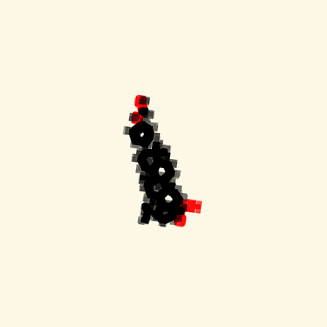 CC(C)[C@@H]1CC[C@]2(C(=O)O)CC[C@]3(C)[C@H](CC[C@@H]4[C@@]5(C)CC[C@H](c6ccc(OC=O)cc6)C(C)(C)[C@@H]5CC[C@]43C)[C@@H]12